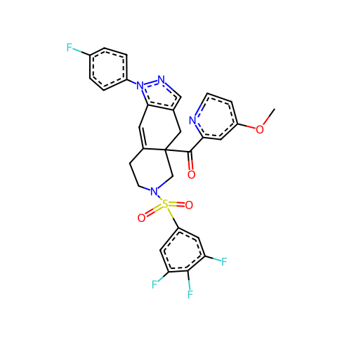 COc1ccnc(C(=O)C23Cc4cnn(-c5ccc(F)cc5)c4C=C2CCN(S(=O)(=O)c2cc(F)c(F)c(F)c2)C3)c1